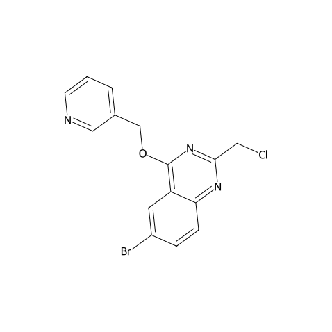 ClCc1nc(OCc2cccnc2)c2cc(Br)ccc2n1